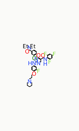 CCN(CC)C(=O)c1ccc(Oc2nc(Nc3ccc(OCCCN4CCCCC4)c(F)c3)ncc2C(=O)Nc2c(F)cc(F)cc2F)c(Cl)c1